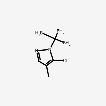 BC(B)(B)n1ncc(C)c1Cl